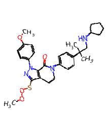 COOSc1nn(-c2ccc(OC)cc2)c2c1CCN(c1ccc(C(C)(C)CNC3CCCC3)cc1)C2=O